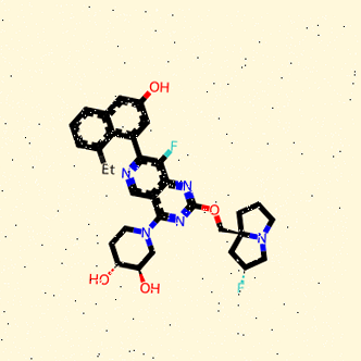 CCc1cccc2cc(O)cc(-c3ncc4c(N5CC[C@@H](O)[C@H](O)C5)nc(OC[C@@]56CCCN5C[C@H](F)C6)nc4c3F)c12